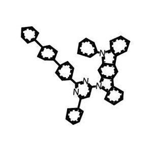 c1ccc(-c2ccc(-c3ccc(-c4nc(-c5ccccc5)cc(-n5c6ccccc6c6cc7c8ccccc8n(-c8ccccc8)c7cc65)n4)cc3)cc2)cc1